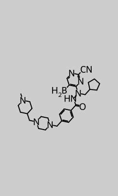 Bc1cnc(C#N)nc1N(CC1CCCC1)NC(=O)c1ccc(CN2CCN(CC3CCN(C)CC3)CC2)cc1